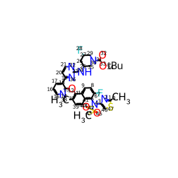 Cc1nc(N(c2c(F)ccc3c(Oc4ncccc4-c4ccnc(NC5CC(F)CN(C(=O)OC(C)(C)C)C5)n4)c(C)ccc23)S(C)(=O)=O)cs1